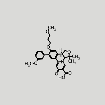 COCCCOc1cc2c(cc1-c1cccc(OC)c1)-c1cc(=O)c(C(=O)O)cn1C1[C@@H]2COC1(C)C